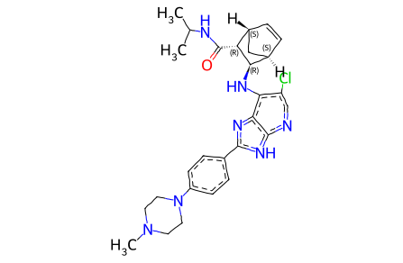 CC(C)NC(=O)[C@H]1[C@H](Nc2c(Cl)cnc3[nH]c(-c4ccc(N5CCN(C)CC5)cc4)nc23)[C@@H]2C=C[C@@H]1C2